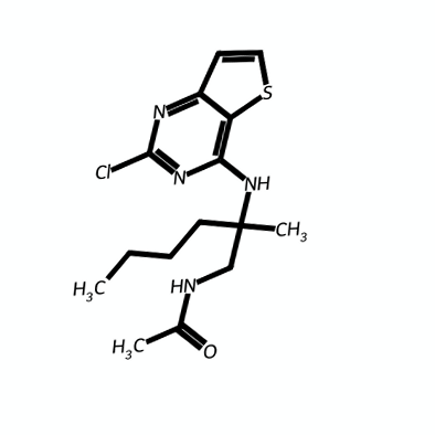 CCCCC(C)(CNC(C)=O)Nc1nc(Cl)nc2ccsc12